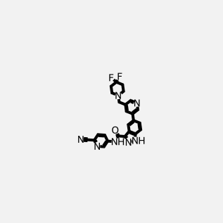 N#Cc1ccc(NC(=O)c2n[nH]c3ccc(-c4cncc(CN5CCC(F)(F)CC5)c4)cc23)cn1